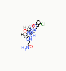 CN(Cc1cc2c(Cl)cccc2[nH]1)C(=O)N(C)c1nc(Nc2ccnc(CCC(N)=O)n2)n(C)c1C=O